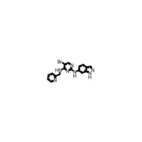 Brc1cnc(Nc2ccc3cn[nH]c3c2)nc1NCc1ccccn1